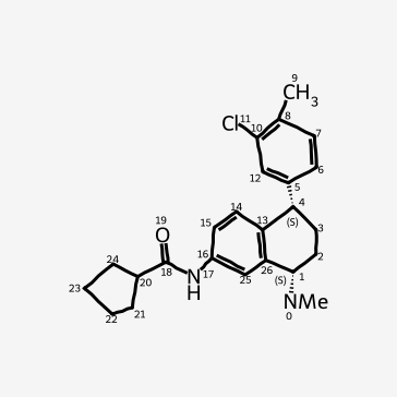 CN[C@H]1CC[C@@H](c2ccc(C)c(Cl)c2)c2ccc(NC(=O)C3CCCC3)cc21